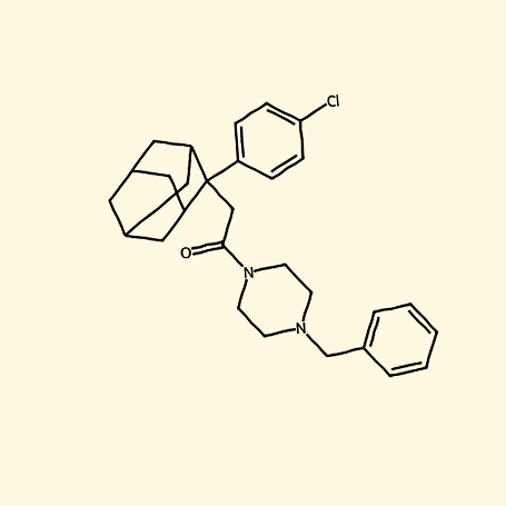 O=C(CC1(c2ccc(Cl)cc2)C2CC3CC(C2)CC1C3)N1CCN(Cc2ccccc2)CC1